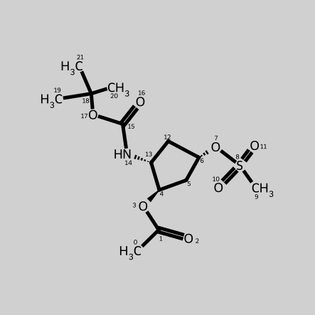 CC(=O)O[C@@H]1C[C@@H](OS(C)(=O)=O)C[C@H]1NC(=O)OC(C)(C)C